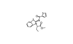 CCC(C(=O)OC)n1c(=NC(=O)c2cccs2)sc2ccccc21